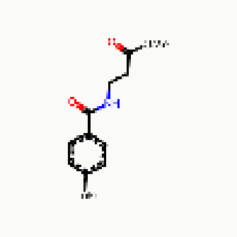 CCCc1ccc(C(=O)NCCC(=O)OC)cc1